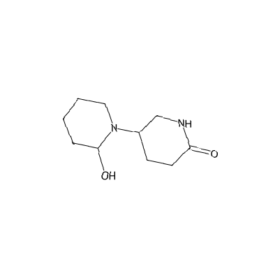 O=C1CCC(N2CCCCC2O)CN1